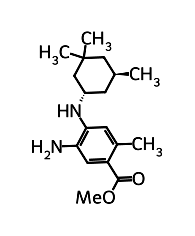 COC(=O)c1cc(N)c(N[C@H]2C[C@H](C)CC(C)(C)C2)cc1C